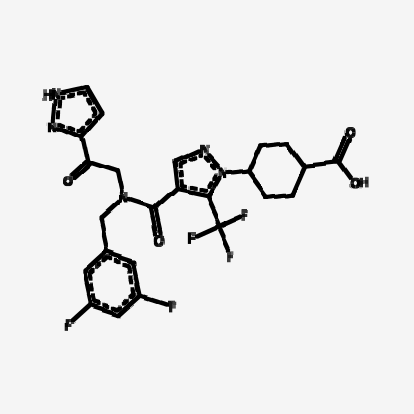 O=C(CN(Cc1cc(F)cc(F)c1)C(=O)c1cnn(C2CCC(C(=O)O)CC2)c1C(F)(F)F)c1cc[nH]n1